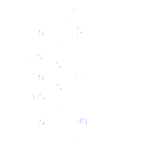 Cc1cccc(Cl)c1NC(=O)c1cnc(Nc2nc(Cl)nc(Nc3ncc(C(=O)Nc4c(C)cccc4Cl)s3)n2)s1